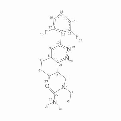 CCN(CC1CCCc2cc(-c3c(F)cccc3F)nnc21)C(=O)N(C)C